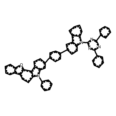 c1ccc(-c2nc(-c3ccccc3)nc(-n3c4ccccc4c4cc(-c5ccc(-c6ccc7c8c9oc%10ccccc%10c9ccc8n(-c8ccccc8)c7c6)cc5)ccc43)n2)cc1